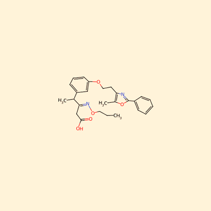 CCCON=C(CC(=O)O)C(C)c1cccc(OCCc2nc(-c3ccccc3)oc2C)c1